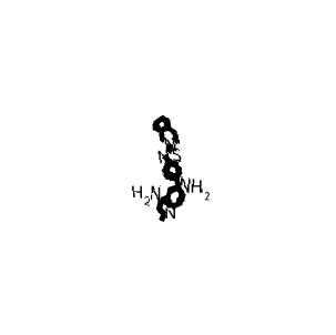 Cc1cc(N)c2c(n1)C=CC(N)(c1ccc3nc(N4CCc5ccccc5C4)sc3c1)C2